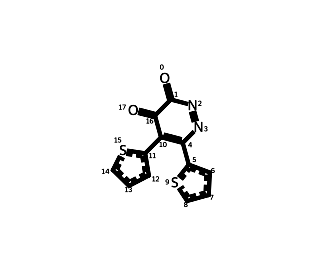 O=C1N=NC(c2cccs2)=C(c2cccs2)C1=O